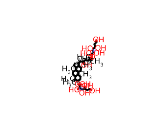 C[C@H](C(O)CCC(C)(C)OC(O)/C(O)=C(\O)C(O)CCO)[C@H]1CC[C@@]2(C)C3=C(CC[C@]12C)[C@@]1(C)CC[C@H](OC(O)/C(O)=C(/O)C(O)CCO)C(C)(C)C1CC3